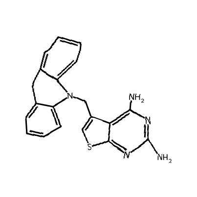 Nc1nc(N)c2c(CN3c4ccccc4Cc4ccccc43)csc2n1